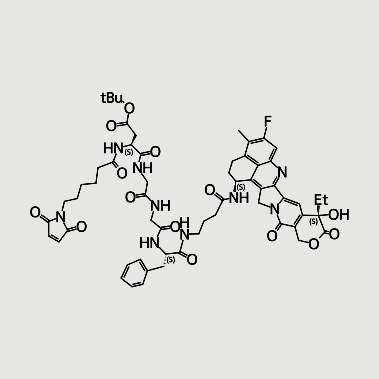 CC[C@@]1(O)C(=O)OCc2c1cc1n(c2=O)Cc2c-1nc1cc(F)c(C)c3c1c2[C@@H](NC(=O)CCCNC(=O)[C@H](Cc1ccccc1)NC(=O)CNC(=O)CNC(=O)[C@H](CC(=O)OC(C)(C)C)NC(=O)CCCCCN1C(=O)C=CC1=O)CC3